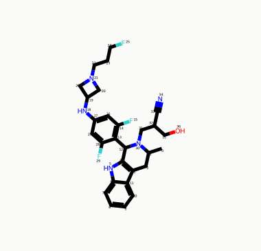 CC1Cc2c([nH]c3ccccc23)C(c2c(F)cc(NC3CN(CCCF)C3)cc2F)N1CC(C#N)CO